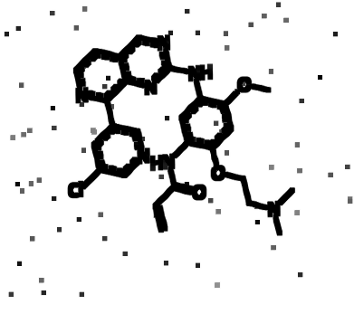 C=CC(=O)Nc1cc(Nc2ncc3ccnc(-c4cncc(Cl)c4)c3n2)c(OC)cc1OCCN(C)C